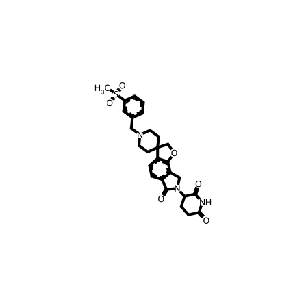 CS(=O)(=O)c1cccc(CN2CCC3(CC2)COc2c3ccc3c2CN(C2CCC(=O)NC2=O)C3=O)c1